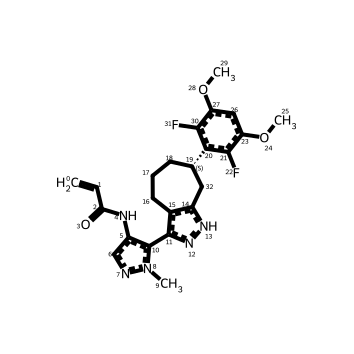 C=CC(=O)Nc1cnn(C)c1-c1n[nH]c2c1CCC[C@H](c1c(F)c(OC)cc(OC)c1F)C2